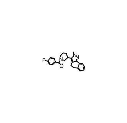 Cn1nc2c(c1C1CCCN(C(=O)c3ccc(F)cc3)C1)CCc1ccccc1-2